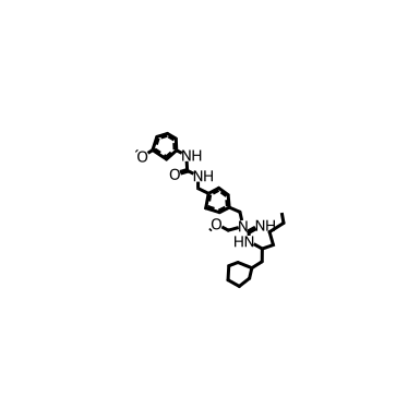 CCCCC(CC1CCCCC1)NC(=N)N(COC)Cc1ccc(CNC(=O)Nc2cccc(OC)c2)cc1